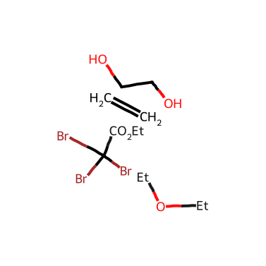 C=C.CCOC(=O)C(Br)(Br)Br.CCOCC.OCCO